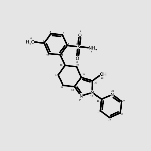 Cc1ccc(S(N)(=O)=O)c(C2CCc3nn(-c4ccccn4)c(O)c3C2)c1